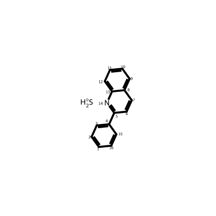 S.c1ccc(-c2ccc3ccccc3n2)cc1